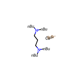 CCCCN(CCCC)CCCN(CCCC)CCCC.[Br-].[Br-].[Cu+2]